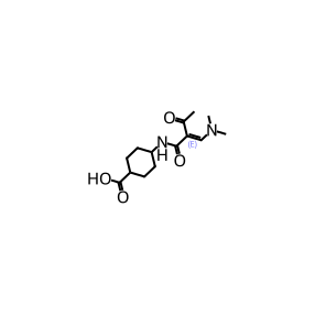 CC(=O)/C(=C\N(C)C)C(=O)NC1CCC(C(=O)O)CC1